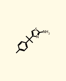 Cc1ccc(C(C)(C)c2csc(N)n2)cc1